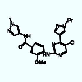 COc1cc(C(=O)Nc2cnn(C)c2)ccc1Nc1ncc(Cl)c(-c2cnn(C(C)C)c2)n1